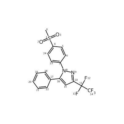 CS(=O)(=O)c1ccc(-n2nc(C(F)(F)C(F)(F)F)cc2-c2ccccc2)cc1